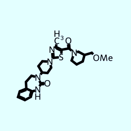 COCC1CCCN(C(=O)c2sc(N3CCC(N4CCc5ccccc5NC4=O)CC3)nc2C)C1